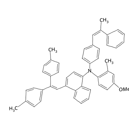 COc1ccc(N(c2ccc(/C=C(/C)c3ccccc3)cc2)c2ccc(C=C(c3ccc(C)cc3)c3ccc(C)cc3)c3ccccc23)c(C)c1